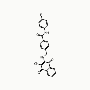 O=C(Nc1ccc(F)cc1)c1ccc(CNC2=C(Cl)C(=O)c3ccccc3C2=O)cc1